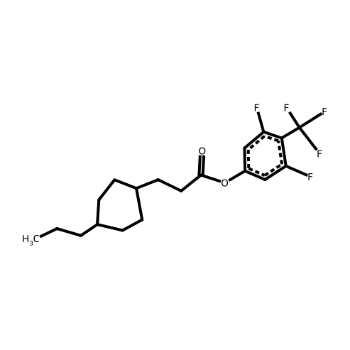 CCCC1CCC(CCC(=O)Oc2cc(F)c(C(F)(F)F)c(F)c2)CC1